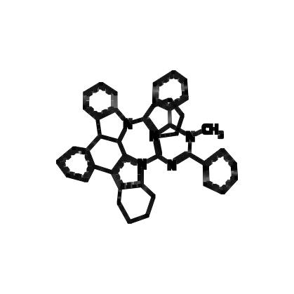 CN1C(c2ccccc2)=NC(n2c3c(c4c2C2C(c5ccccc5-4)c4ccccc4N2C2=CCCCC2)CCCC3)=NC1c1ccccc1